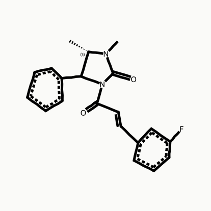 C[C@H]1C(c2ccccc2)N(C(=O)C=Cc2cccc(F)c2)C(=O)N1C